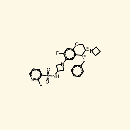 O=S(=O)(NC1CN(c2cc3c(cc2F)OC[C@H](N2CCC2)[C@@H]3Cc2ccccc2)C1)c1cccnc1F